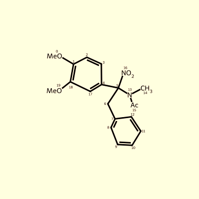 COc1ccc(C(Cc2ccccc2)(N(C)C(C)=O)[N+](=O)[O-])cc1OC